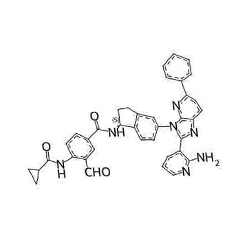 Nc1ncccc1-c1nc2ccc(-c3ccccc3)nc2n1-c1ccc2c(c1)CC[C@@H]2NC(=O)c1ccc(NC(=O)C2CC2)c(C=O)c1